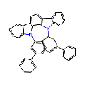 C1=CC(n2c3ccccc3c3ccc4c5ccccc5n(-c5cccc(-c6ccccc6)c5)c4c32)CC(c2ccccc2)=C1